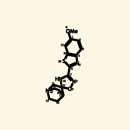 COc1ccc2nc(C3=NO[C@]4(CN5CCC4CC5)N3)sc2c1